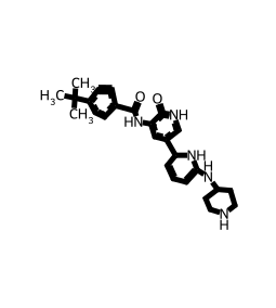 CC(C)(C)c1c#cc(C(=O)Nc2cc(C3C=CC=C(NC4CCNCC4)N3)c[nH]c2=O)cc1